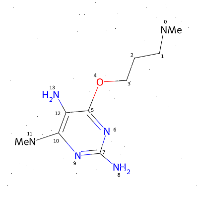 CNCCCOc1nc(N)nc(NC)c1N